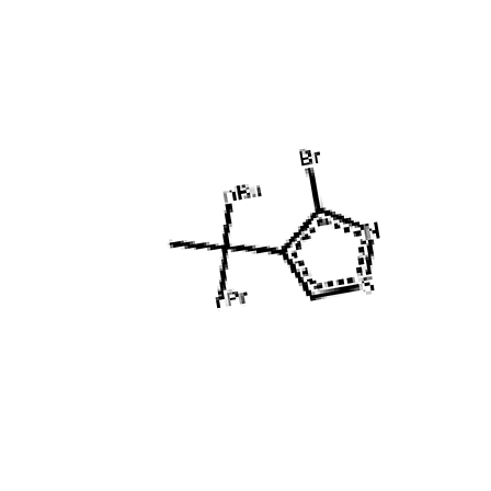 CCCCC(C)(CCC)c1csnc1Br